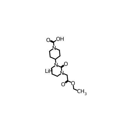 CCOC(=O)CN1CCCN(C2CCN(C(=O)O)CC2)C1=O.[LiH]